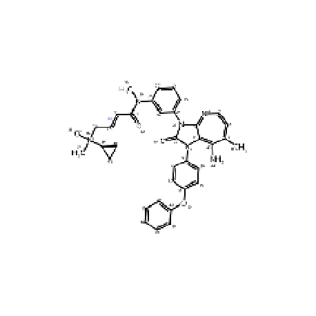 CC1=C=CN=c2c(n(-c3ccc(Oc4ccccc4)cc3)c(=O)n2-c2cccc(N(C)C(=O)/C=C/C[N+](C)([O-])C3CC3)c2)=C1N